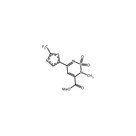 COC(=O)C1=CC(c2cnc(C(F)(F)F)s2)=NS(=O)(=O)N1C